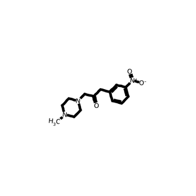 CN1CCN(CC(=O)Cc2cccc([N+](=O)[O-])c2)CC1